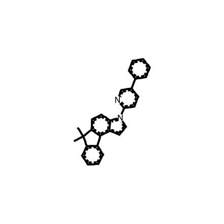 CC1(C)c2ccccc2-c2c1ccc1c2ccn1-c1ccc(-c2ccccc2)cn1